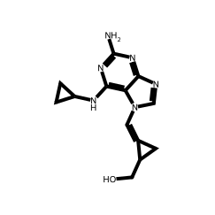 Nc1nc(NC2CC2)c2c(ncn2C=C2CC2CO)n1